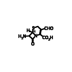 NC1C(=O)N2C(C(=O)O)=C(C=O)CS[C@@H]12